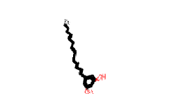 CCC=CCC=CCCCCCCCCc1cc(O)cc(O)c1